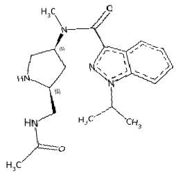 CC(=O)NC[C@@H]1C[C@H](N(C)C(=O)c2nn(C(C)C)c3ccccc23)CN1